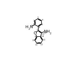 Nc1ccccc1-c1oc2ccccc2c1N